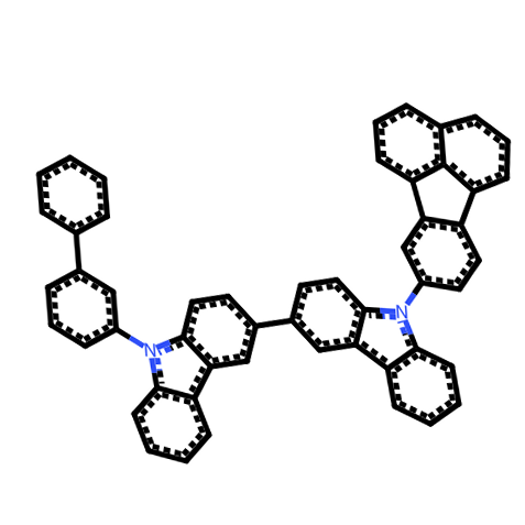 c1ccc(-c2cccc(-n3c4ccccc4c4cc(-c5ccc6c(c5)c5ccccc5n6-c5ccc6c(c5)-c5cccc7cccc-6c57)ccc43)c2)cc1